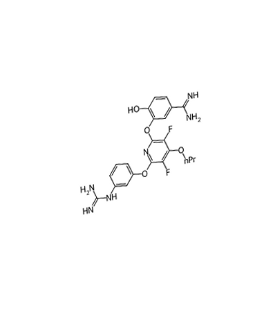 CCCOc1c(F)c(Oc2cccc(NC(=N)N)c2)nc(Oc2cc(C(=N)N)ccc2O)c1F